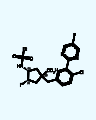 CCS(=O)(=O)N[C@@H]1C[C@@](Cc2ccc(Cl)c(-c3ncc(F)cn3)c2)(C(=O)O)C[C@@H]1F